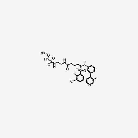 Cc1cnccc1-c1cccc(C(C)N(CCCC(=O)NCCNS(=O)(=O)NOC(C)(C)C)S(=O)(=O)c2cccc(Cl)c2C)c1